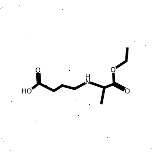 CCOC(=O)C(C)NCCCC(=O)O